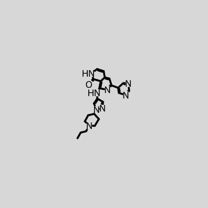 CCCN1CCC(n2cc(Nc3nc(-c4cncnc4)cc4cc[nH]c(=O)c34)cn2)CC1